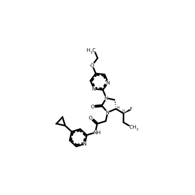 CCOc1cnc(N2C[C@H]([C@@H](F)CC)N(CC(=O)Nc3cc(C4CC4)ccn3)C2=O)nc1